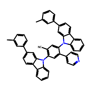 Cc1cccc(-c2ccc3c4ccccc4n(-c4cc(-c5ccncc5)c(-n5c6ccccc6c6ccc(-c7cccc(C)c7)cc65)cc4C#N)c3c2)c1